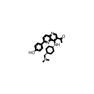 CC(=O)c1cnc2ccc(-c3ccc(O)cc3)nc2c1N[C@H]1CC[C@H](CN(C)C)CC1